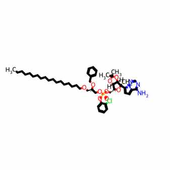 CCCCCCCCCCCCCCCCCCOC[C@H](COP(=O)(OC[C@H]1O[C@@](C)(c2ccc3c(N)ncnn23)[C@@H]2OC(C)(C)O[C@@H]21)Oc1ccccc1Cl)OCc1ccccc1